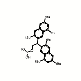 CC(C)(C)c1cc(C(C)(C)C)c2cc(C(COP(O)O)c3cc4c(C(C)(C)C)cc(C(C)(C)C)cc4cc3C(C)(C)C)c(C(C)(C)C)cc2c1